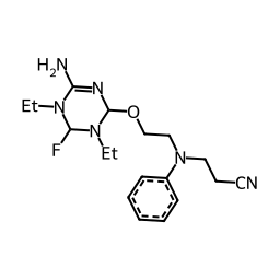 CCN1C(N)=NC(OCCN(CCC#N)c2ccccc2)N(CC)C1F